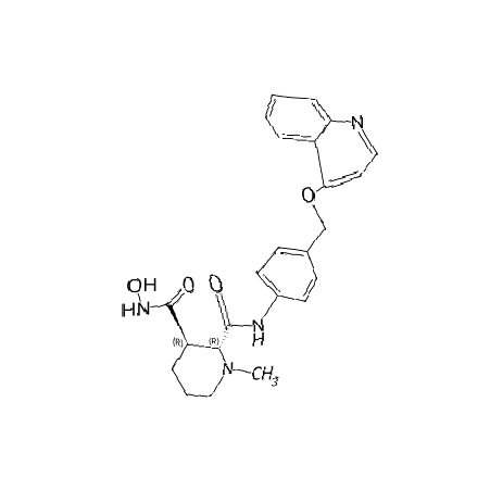 CN1CCC[C@@H](C(=O)NO)[C@@H]1C(=O)Nc1ccc(COc2ccnc3ccccc23)cc1